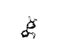 COc1ccc[c]c1-c1ccc(SC)c(Cl)c1